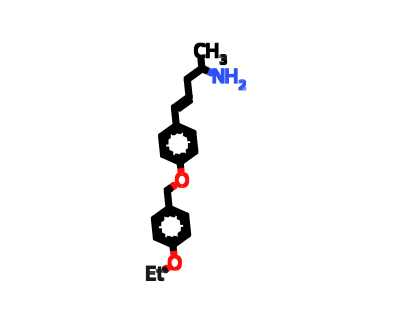 CCOc1ccc(COc2ccc(C=CCC(C)N)cc2)cc1